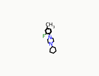 Cc1ccc(N2CCN(C3CCCCC3)CC2)c(F)c1